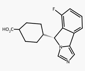 O=C(O)C1CCC([C@@H]2c3c(F)cccc3-c3cncn32)CC1